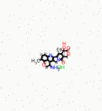 CC[C@@]1(O)C(=O)OCc2c1cc1n(c2=O)Cc2c-1nc1ccc(C)c3c1c2C(N)CO3.Cl